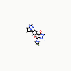 CN(C)C(=O)[C@@H](C1CCC(c2cccc3ncnn23)CC1)C(N)C(=O)N1CC[C@H](F)C1